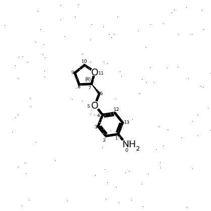 Nc1ccc(OC[C@H]2CCCO2)cc1